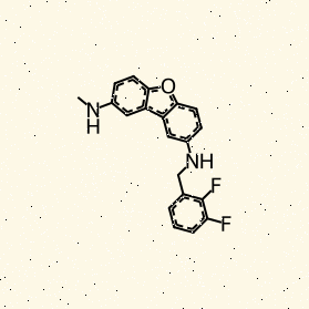 CNc1ccc2oc3ccc(NCc4cccc(F)c4F)cc3c2c1